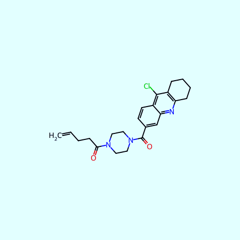 C=CCCC(=O)N1CCN(C(=O)c2ccc3c(Cl)c4c(nc3c2)CCCC4)CC1